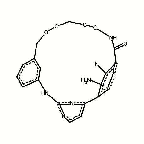 Nc1c2ccc(c1F)C(=O)NCCCCOCc1cccc(c1)Nc1nccc-2n1